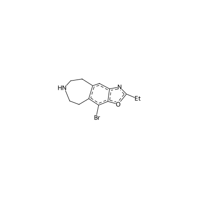 CCc1nc2cc3c(c(Br)c2o1)CCNCC3